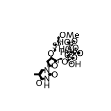 COCSSCOC1C[C@H](n2cc(C)c(=O)[nH]c2=O)O[C@@H]1COP(=O)(O)OP(=O)(O)OP(=O)(O)O